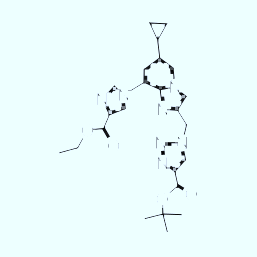 CCOC(=O)c1cn(-c2cc(C3CC3)cn3cc(Cn4cc(C(=O)OC(C)(C)C)nn4)nc23)cn1